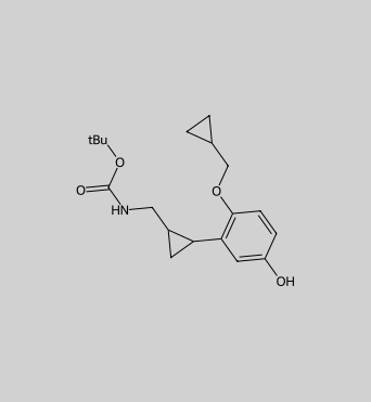 CC(C)(C)OC(=O)NCC1CC1c1cc(O)ccc1OCC1CC1